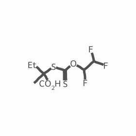 CCC(C)(SC(=S)OC(F)C(F)F)C(=O)O